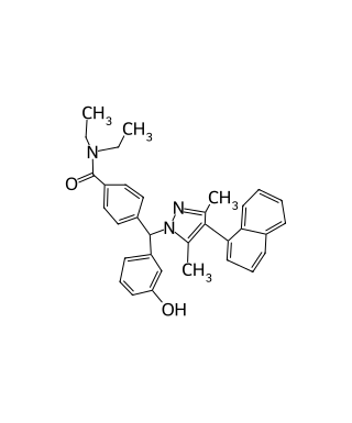 CCN(CC)C(=O)c1ccc(C(c2cccc(O)c2)n2nc(C)c(-c3cccc4ccccc34)c2C)cc1